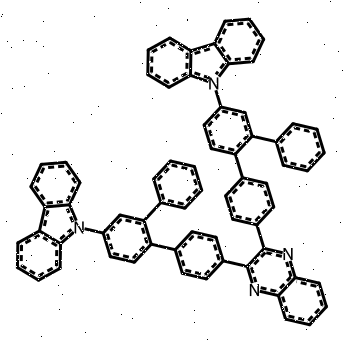 c1ccc(-c2cc(-n3c4ccccc4c4ccccc43)ccc2-c2ccc(-c3nc4ccccc4nc3-c3ccc(-c4ccc(-n5c6ccccc6c6ccccc65)cc4-c4ccccc4)cc3)cc2)cc1